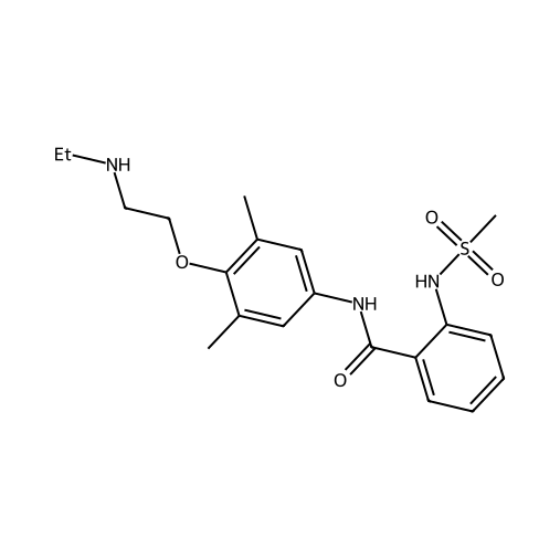 CCNCCOc1c(C)cc(NC(=O)c2ccccc2NS(C)(=O)=O)cc1C